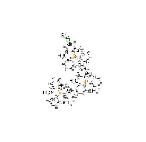 Cc1ccccc1P(c1ccccc1C)c1ccccc1C.Cc1ccccc1P(c1ccccc1C)c1ccccc1C.Cc1ccccc1P(c1ccccc1C)c1ccccc1C.[Cl][Rh]